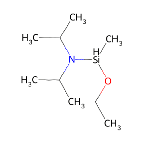 CCO[SiH](C)N(C(C)C)C(C)C